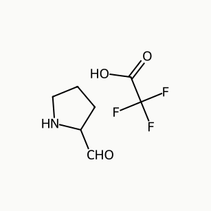 O=C(O)C(F)(F)F.O=CC1CCCN1